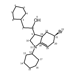 OC(CC1CCCCC1)C1CN(C2CCCCC2)C2=CC[C@H](Br)CC21